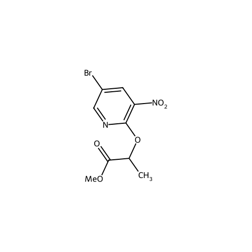 COC(=O)C(C)Oc1ncc(Br)cc1[N+](=O)[O-]